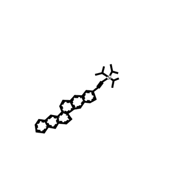 CC(C)[Si](C#Cc1ccc2cc3c(ccc4c5cc6ccccc6cc5ccc34)cc2c1)(C(C)C)C(C)C